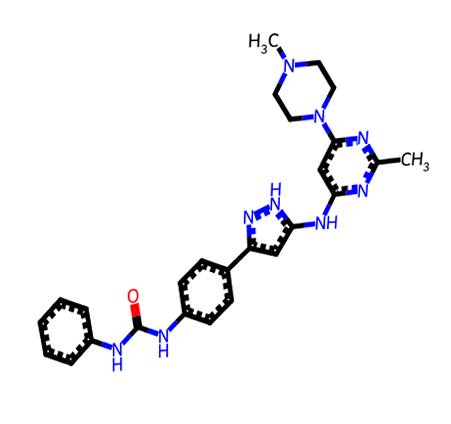 Cc1nc(Nc2cc(-c3ccc(NC(=O)Nc4ccccc4)cc3)n[nH]2)cc(N2CCN(C)CC2)n1